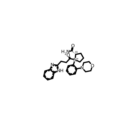 NC(=O)[C@@H]1CCC[N+]1(C(=O)CCc1nc2ccccc2[nH]1)c1ccccc1N1CCOCC1